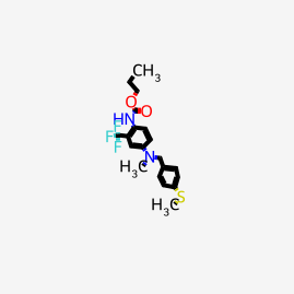 CCCOC(=O)Nc1ccc(N(C)Cc2ccc(SC)cc2)cc1C(F)(F)F